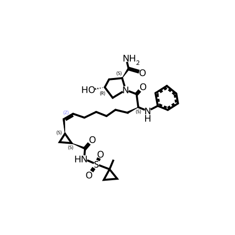 CC1(S(=O)(=O)NC(=O)[C@H]2C[C@H]2/C=C\CCCCC[C@H](Nc2ccccc2)C(=O)N2C[C@H](O)C[C@H]2C(N)=O)CC1